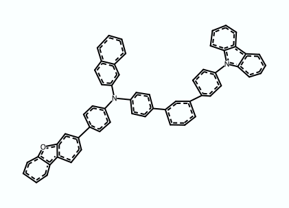 c1cc(-c2ccc(N(c3ccc(-c4ccc5c(c4)oc4ccccc45)cc3)c3ccc4ccccc4c3)cc2)cc(-c2ccc(-n3c4ccccc4c4ccccc43)cc2)c1